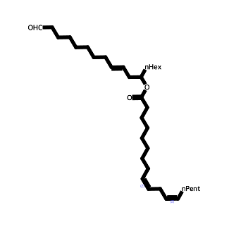 CCCCC/C=C\C/C=C\CCCCCCCC(=O)OC(CC=CCCCCCCCC=O)CCCCCC